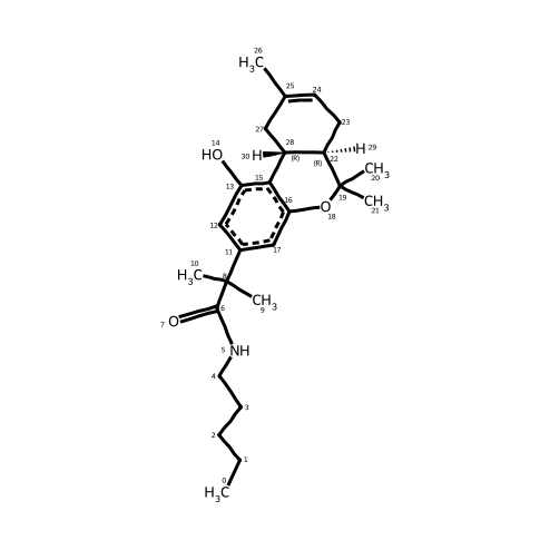 CCCCCNC(=O)C(C)(C)c1cc(O)c2c(c1)OC(C)(C)[C@@H]1CC=C(C)C[C@@H]21